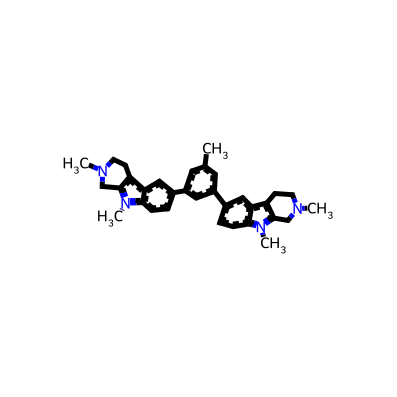 Cc1cc(-c2ccc3c(c2)c2c(n3C)CN(C)CC2)cc(-c2ccc3c(c2)c2c(n3C)CN(C)CC2)c1